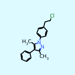 Cc1nn(-c2ccc(CCCl)cc2)c(C)c1-c1ccccc1